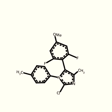 COc1cc(F)c(-c2c(C)nc(Cl)n2-c2ccc(C)cc2)c(F)c1